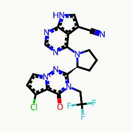 N#Cc1c[nH]c2ncnc(N3CCC[C@H]3c3nn4ccc(Cl)c4c(=O)n3CC(F)(F)F)c12